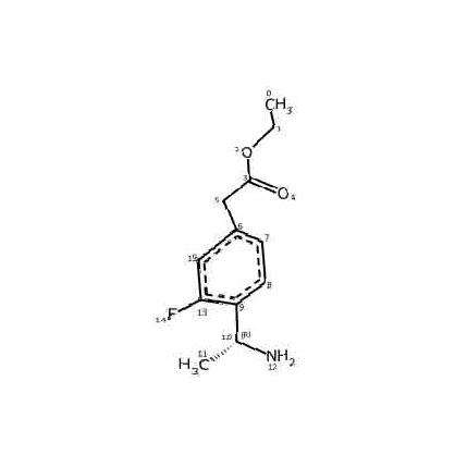 CCOC(=O)Cc1ccc([C@@H](C)N)c(F)c1